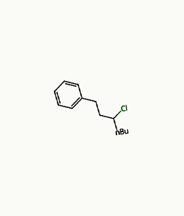 CCCCC(Cl)CCc1ccccc1